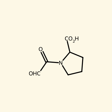 O=CC(=O)N1CCCC1C(=O)O